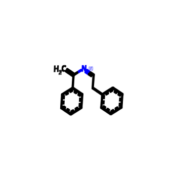 C=C(/N=C\Cc1ccccc1)c1ccccc1